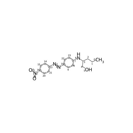 CCCC(CO)Nc1ccc(N=Nc2ccc([N+](=O)[O-])cc2)cc1